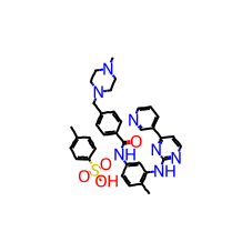 Cc1ccc(NC(=O)c2ccc(CN3CCN(C)CC3)cc2)cc1Nc1nccc(-c2cccnc2)n1.Cc1ccc(S(=O)(=O)O)cc1